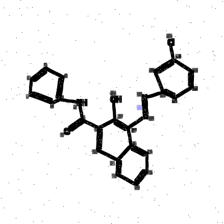 O=C(Nc1ccccc1)c1cc2ccccc2c(/N=N/c2cccc(Cl)c2)c1O